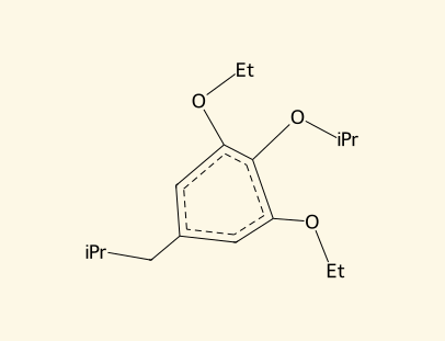 CCOc1cc(CC(C)C)cc(OCC)c1OC(C)C